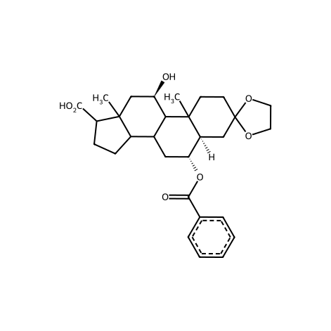 CC12C[C@@H](O)C3C(C[C@@H](OC(=O)c4ccccc4)[C@@H]4CC5(CCC34C)OCCO5)C1CCC2C(=O)O